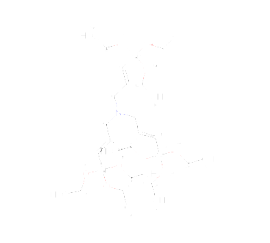 CCO[Si](C=CCN(CC=C[Si](OCC)(OCC)OCC)CC=C[Si](OCC)(OCC)OCC)(OCC)OCC